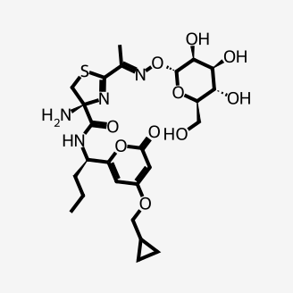 CCC[C@@H](NC(=O)[C@]1(N)CSC(/C(C)=N/O[C@H]2O[C@H](CO)[C@@H](O)[C@H](O)[C@@H]2O)=N1)c1cc(OCC2CC2)cc(=O)o1